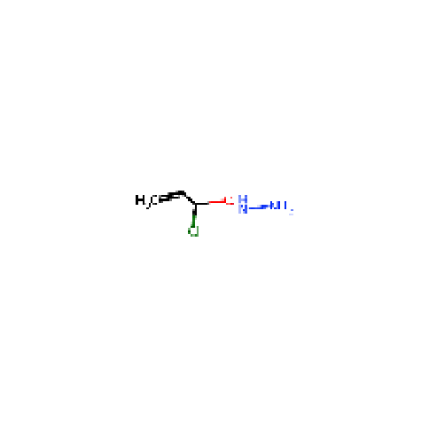 C=CC(Cl)ONN